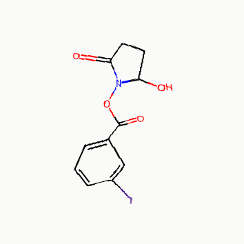 O=C(ON1C(=O)CCC1O)c1cccc(I)c1